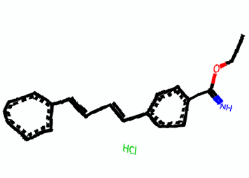 CCOC(=N)c1ccc(C=CC=Cc2ccccc2)cc1.Cl